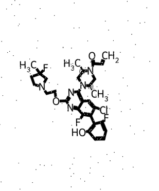 C=CC(=O)N1C[C@H](C)N(c2nc(OCCN3CCC(C)(F)C3)nc3c(F)c(-c4c(O)cccc4F)c(Cl)cc23)C[C@H]1C